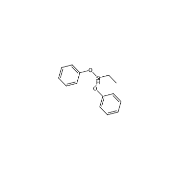 CC[SiH](Oc1ccccc1)Oc1ccccc1